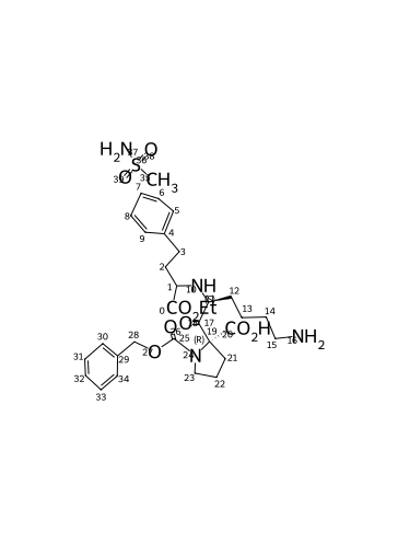 CCOC(=O)C(CCc1ccccc1)N[C@@H](CCCCN)C(=O)[C@@]1(C(=O)O)CCCN1C(=O)OCc1ccccc1.CS(N)(=O)=O